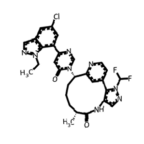 CCn1ncc2cc(Cl)cc(-c3cc(=O)n([C@H]4CCC[C@@H](C)C(=O)Nc5cnn(C(F)F)c5-c5ccnc4c5)cn3)c21